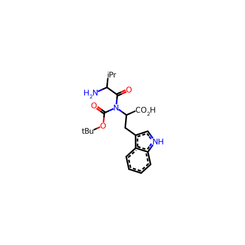 CC(C)C(N)C(=O)N(C(=O)OC(C)(C)C)C(Cc1c[nH]c2ccccc12)C(=O)O